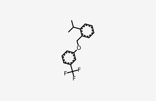 CC(C)c1ccccc1COc1cccc(C(F)(F)F)c1